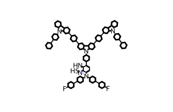 N=C1C(c2ccc(-n3c4ccc(-c5ccc(-c6ccc7c8ccccc8n(-c8ccc(-c9ccccc9)cc8)c7c6)cc5)cc4c4cc(-c5ccc(-c6ccc7c8ccccc8n(-c8ccc(-c9ccccc9)cc8)c7c6)cc5)ccc43)cc2)=CC=C(N(c2ccc(-c3ccc(F)cc3)cc2)c2ccc(-c3ccc(F)cc3)cc2)/C1=N/S